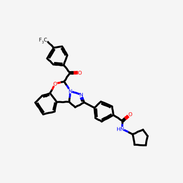 O=C(NC1CCCC1)c1ccc(C2=NN3C(C(=O)c4ccc(C(F)(F)F)cc4)Oc4ccccc4C3C2)cc1